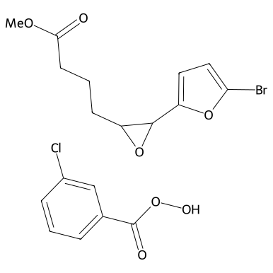 COC(=O)CCCC1OC1c1ccc(Br)o1.O=C(OO)c1cccc(Cl)c1